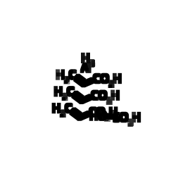 C=CC(=O)O.C=CC(=O)O.C=CC(=O)O.O=S(=O)(O)O.[AlH3]